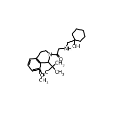 COc1cccc2c1C(C(C)(C)C)N(C(=O)CNCC1(O)CCCCC1)CC2